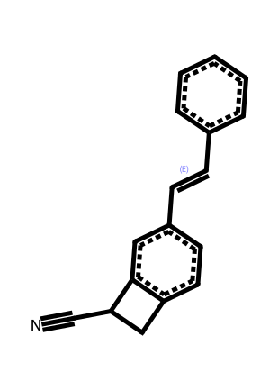 N#CC1Cc2ccc(/C=C/c3ccccc3)cc21